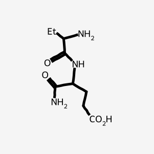 CCC(N)C(=O)NC(CCC(=O)O)C(N)=O